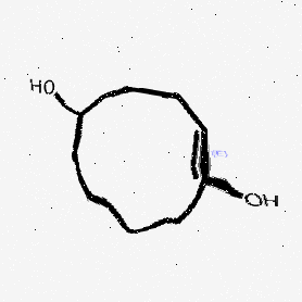 O/C1=C/CCC(O)CCCC1